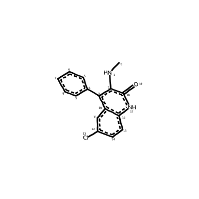 CNc1c(-c2ccccc2)c2cc(Cl)ccc2[nH]c1=O